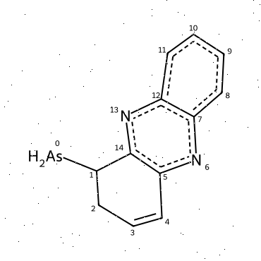 [AsH2]C1CC=Cc2nc3ccccc3nc21